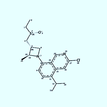 CC[S@+]([O-])C[C@@H]1CN(c2ccc(C(C)C)c3cc(Cl)ncc23)[C@H]1C